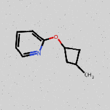 CC1CC(Oc2ccccn2)C1